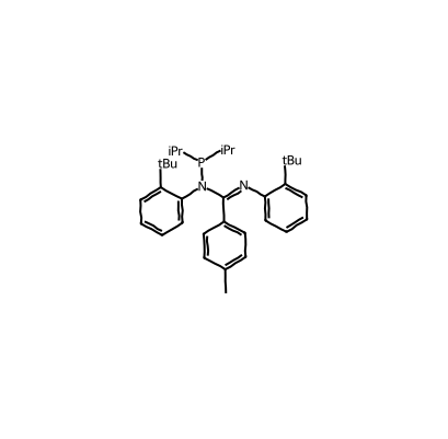 Cc1ccc(C(=Nc2ccccc2C(C)(C)C)N(c2ccccc2C(C)(C)C)P(C(C)C)C(C)C)cc1